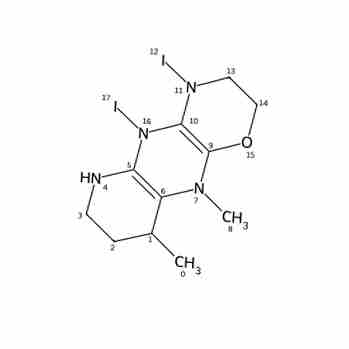 CC1CCNC2=C1N(C)C1=C(N(I)CCO1)N2I